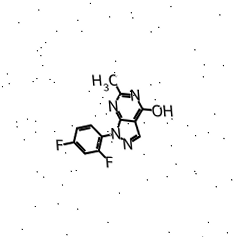 Cc1nc(O)c2cnn(-c3ccc(F)cc3F)c2n1